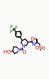 CS(=O)(=O)Cc1coc(C2CC(c3ccc(C(F)(F)F)cc3)CN(C(=O)N3CCC(O)CC3)C2)n1